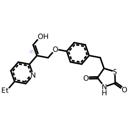 CCc1ccc(/C(=C/O)COc2ccc(CC3SC(=O)NC3=O)cc2)nc1